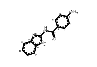 Nc1ccc(C(=O)Nc2nc3ccccc3[nH]2)cc1